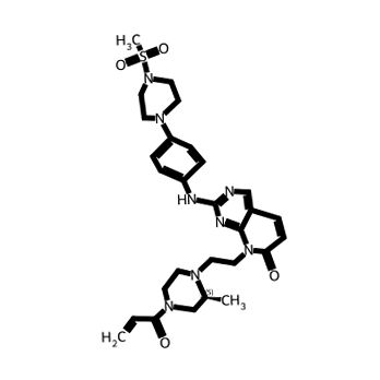 C=CC(=O)N1CCN(CCn2c(=O)ccc3cnc(Nc4ccc(N5CCN(S(C)(=O)=O)CC5)cc4)nc32)[C@@H](C)C1